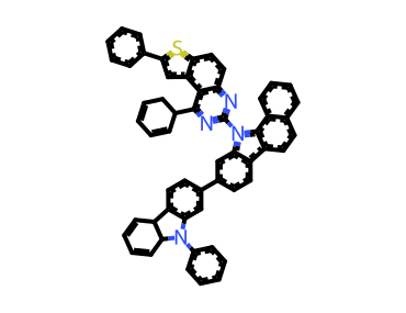 C1=CCC(c2nc(-n3c4cc(-c5ccc6c(c5)N(c5ccccc5)C5C=CC=CC65)ccc4c4ccc5ccccc5c43)nc3ccc4sc(-c5ccccc5)cc4c23)C=C1